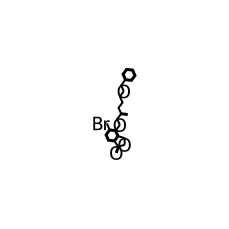 C=C(CCCOCc1ccccc1)COc1c(Br)ccc2c1COC2=O